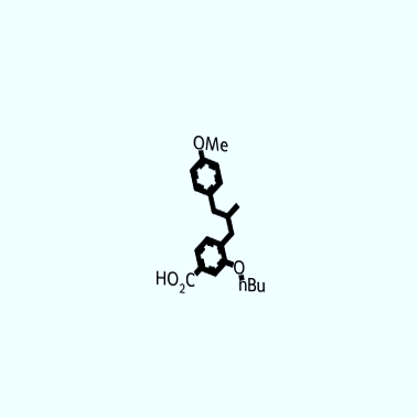 CCCCOc1cc(C(=O)O)ccc1CC(C)Cc1ccc(OC)cc1